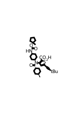 CC(C)(C)C#Cc1cc(N(C(=O)[C@H]2CC[C@H](C)CC2)[C@H]2CC[C@H](NC(=O)OC3(C)CCCC3)CC2)c(C(=O)O)s1